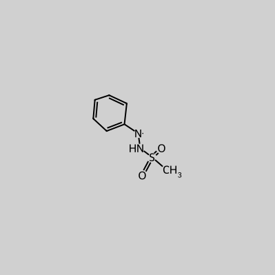 CS(=O)(=O)N[N]c1ccccc1